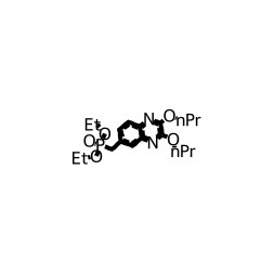 CCCOc1nc2ccc(CP(=O)(OCC)OCC)cc2nc1OCCC